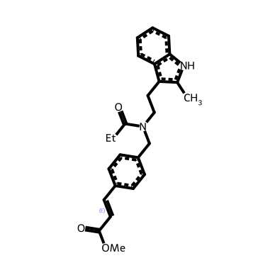 CCC(=O)N(CCc1c(C)[nH]c2ccccc12)Cc1ccc(/C=C/C(=O)OC)cc1